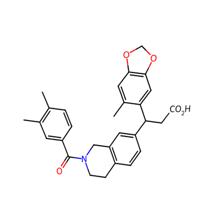 Cc1ccc(C(=O)N2CCc3ccc(C(CC(=O)O)c4cc5c(cc4C)OCO5)cc3C2)cc1C